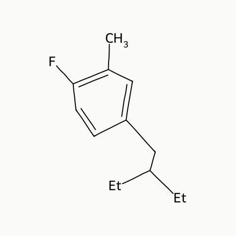 CCC(CC)Cc1ccc(F)c(C)c1